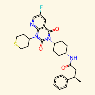 C[C@H](CC(=O)N[C@H]1CC[C@@H](n2c(=O)c3cc(F)cnc3n(C3CCSCC3)c2=O)CC1)c1ccccc1